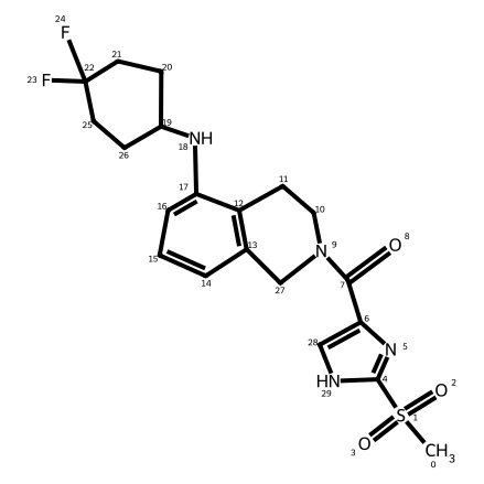 CS(=O)(=O)c1nc(C(=O)N2CCc3c(cccc3NC3CCC(F)(F)CC3)C2)c[nH]1